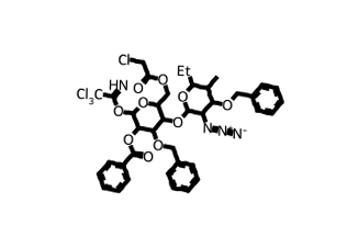 CCC1OC(OC2C(COC(=O)CCl)OC(OC(=N)C(Cl)(Cl)Cl)C(OC(=O)c3ccccc3)C2OCc2ccccc2)C(N=[N+]=[N-])C(OCc2ccccc2)C1C